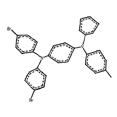 Cc1ccc(N(c2ccccc2)c2ccc(N(c3ccc(Br)cc3)c3ccc(Br)cc3)cc2)cc1